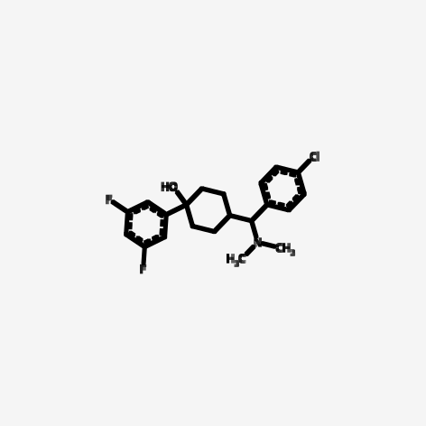 CN(C)C(c1ccc(Cl)cc1)C1CCC(O)(c2cc(F)cc(F)c2)CC1